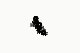 C[C@]12Cc3cnn(-c4ccc(F)cc4)c3C=C1CCC[C@]21C(=O)NC(=O)N1Cc1ccccc1